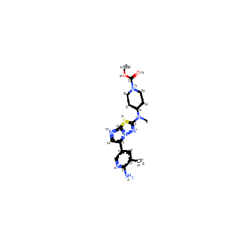 CN(c1nn2c(-c3cnc(N)c(C(F)(F)F)c3)cnc2s1)C1CCN(C(=O)OC(C)(C)C)CC1